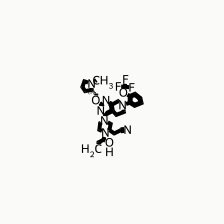 C=CC(O)N1CCN(c2nc(OC[C@@H]3CCCN3C)nc3c2CCN(c2ccccc2OC(F)(F)F)C3)CC1CC#N